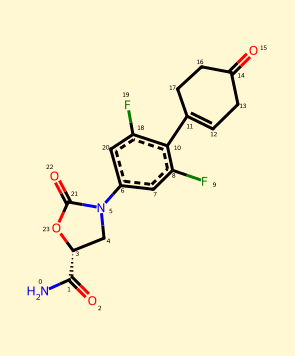 NC(=O)[C@H]1CN(c2cc(F)c(C3=CCC(=O)CC3)c(F)c2)C(=O)O1